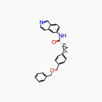 O=C(Nc1ccc2cnccc2c1)[C@@H]1C[C@H]1c1ccc(COCc2ccccc2)cc1